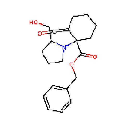 O=C=C1CCCCC1(C(=O)OCc1ccccc1)N1CCCC1CO